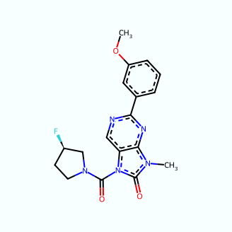 COc1cccc(-c2ncc3c(n2)n(C)c(=O)n3C(=O)N2CC[C@@H](F)C2)c1